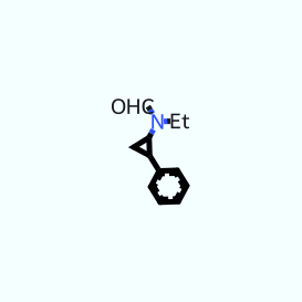 [CH2]CN(C=O)C1CC1c1ccccc1